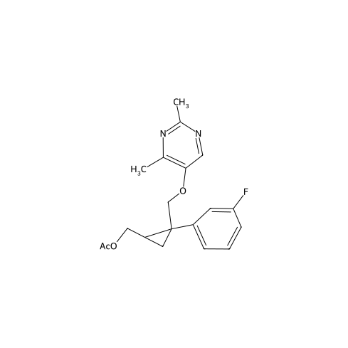 CC(=O)OCC1CC1(COc1cnc(C)nc1C)c1cccc(F)c1